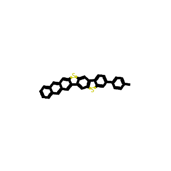 Cc1ccc(-c2ccc3c(c2)sc2cc4c(cc23)sc2cc3cc5ccccc5cc3cc24)cc1